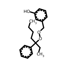 CCCCC(CC)(OOCc1cccc(O)c1)c1ccccc1